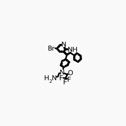 NCCN(C(=O)C(F)(F)F)c1ccc(-c2c(-c3ccccc3)[nH]c3ncc(Br)cc23)cc1